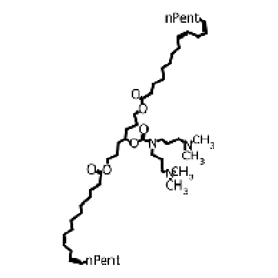 CCCCC/C=C\C/C=C\CCCCCCCC(=O)OCCCC(CCCOC(=O)CCCCCCC/C=C\C/C=C\CCCCC)OC(=O)N(CCCN(C)C)CCCN(C)C